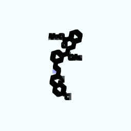 COC(=O)c1ccccc1CC[C@H](OC(C)=O)c1cccc(/C=C/c2ccc3ccc(Cl)cc3n2)c1